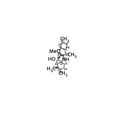 COc1cc(C)ccc1C(C)C(=O)NC1(C(=O)O)CCC(C)C(C)C1